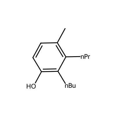 CCCCc1c(O)ccc(C)c1CCC